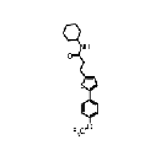 O=C(CCc1ccc(-c2ccc(OC(F)(F)F)cc2)s1)NC1CCCCC1